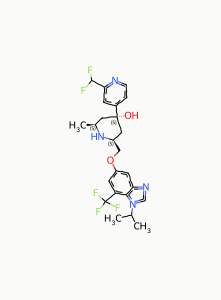 CC(C)n1cnc2cc(OC[C@@H]3C[C@](O)(c4ccnc(C(F)F)c4)C[C@H](C)N3)cc(C(F)(F)F)c21